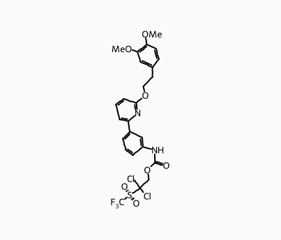 COc1ccc(CCOc2cccc(-c3cccc(NC(=O)OCC(Cl)(Cl)S(=O)(=O)C(F)(F)F)c3)n2)cc1OC